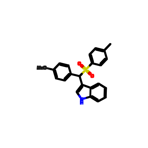 COc1ccc(C(c2c[nH]c3ccccc23)S(=O)(=O)c2ccc(C)cc2)cc1